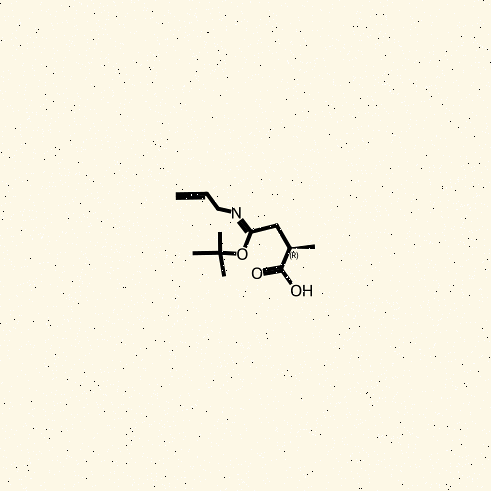 C=CCN=C(C[C@@H](C)C(=O)O)OC(C)(C)C